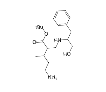 CC(CCN)C(CNC(CO)Cc1ccccc1)C(=O)OC(C)(C)C